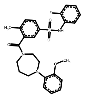 COc1ccccc1N1CCCN(C(=O)c2cc(S(=O)(=O)Nc3ccccc3F)ccc2C)CC1